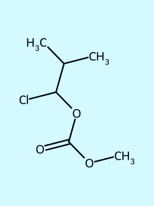 COC(=O)OC(Cl)C(C)C